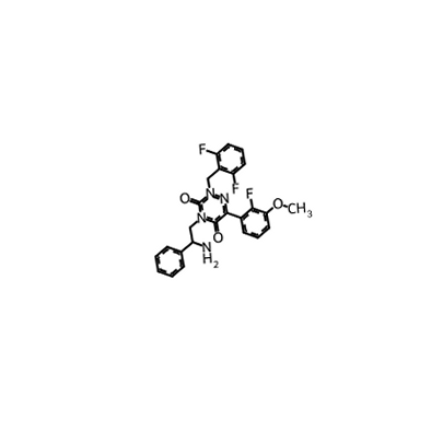 COc1cccc(-c2nn(Cc3c(F)cccc3F)c(=O)n(CC(N)c3ccccc3)c2=O)c1F